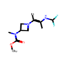 CC/C(=C(/C)NC(F)F)N1CC(N(C)C(=O)OC(C)(C)C)C1